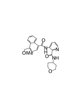 COCc1ccc(C(=O)Nc2cccnc2C(=O)NC2CCOCC2)c2ccccc12